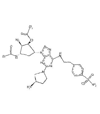 CCC(=O)N[C@H]1C[C@@H](n2cnc3c(NCCc4ccc(S(N)(=O)=O)cc4)nc(N4CC[C@@H](N)C4)nc32)[C@H](OC(=O)C(F)(F)F)[C@@H]1O